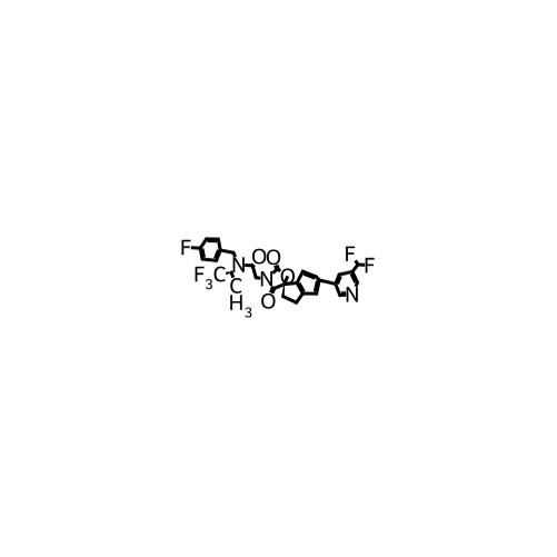 C[C@H](N(Cc1ccc(F)cc1)C(=O)CN1C(=O)O[C@@]2(CCc3cc(-c4cncc(C(F)F)c4)ccc32)C1=O)C(F)(F)F